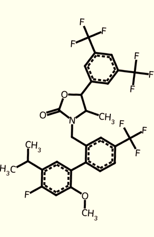 COc1cc(F)c(C(C)C)cc1-c1ccc(C(F)(F)F)cc1CN1C(=O)OC(c2cc(C(F)(F)F)cc(C(F)(F)F)c2)C1C